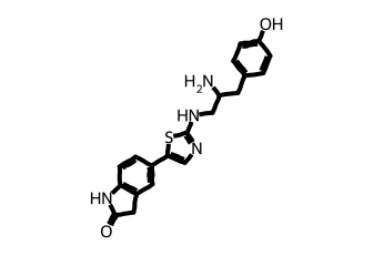 NC(CNc1ncc(-c2ccc3c(c2)CC(=O)N3)s1)Cc1ccc(O)cc1